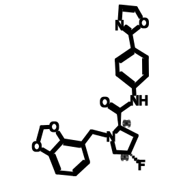 O=C(Nc1ccc(-c2ncco2)cc1)[C@H]1C[C@H](F)CN1Cc1cccc2c1OCO2